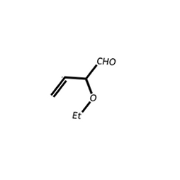 C=[C]C(C=O)OCC